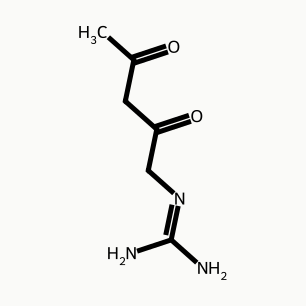 CC(=O)CC(=O)CN=C(N)N